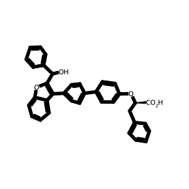 O=C(O)[C@@H](Cc1ccccc1)Oc1ccc(-c2ccc(-c3c(C(O)c4ccccc4)oc4ccccc34)cc2)cc1